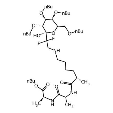 CCCCOC[C@H]1O[C@@](O)(C(F)(F)CNCCCC[C@H](C)C(=O)N[C@@H](C)C(=O)N[C@@H](C)C(=O)OCCCC)[C@H](OCCCC)[C@@H](OCCCC)[C@H]1OCCCC